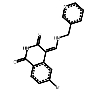 O=C1NC(=O)c2ccc(Br)cc2/C1=C/NCc1cccnc1